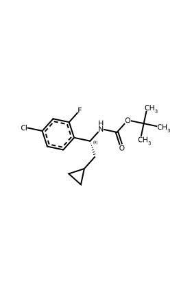 CC(C)(C)OC(=O)N[C@H](CC1CC1)c1ccc(Cl)cc1F